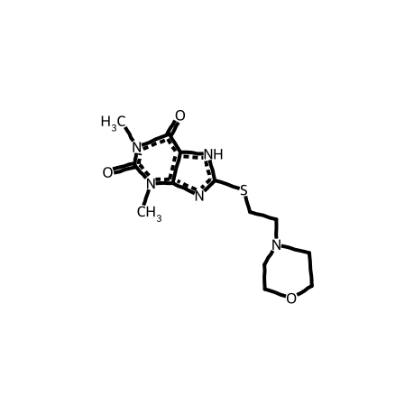 Cn1c(=O)c2[nH]c(SCCN3CCOCC3)nc2n(C)c1=O